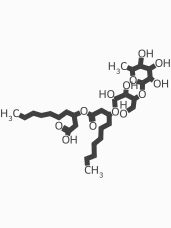 CCCCCCCC(CC(=O)O)OC(=O)CC(CCCCCCC)OC(O)C(O)C(CO)OC1OC(C)C(O)C(O)C1O